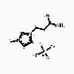 Cn1cc[n+](CCC(N)Br)c1.F[B-](F)(F)F